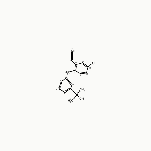 CC(C)(O)c1cncc(Nc2ccc(Cl)cc2C=N)c1